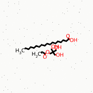 C=CC(=O)OCC(CO)(CO)CO.CCCCCCCCCCCCCCCCCC(=O)O